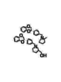 CC1CCCCN1Cc1ccc([C@H]2COc3ccccc3O2)cc1.OCC1CCCN(Cc2ccc([C@H]3COc4ccccc4O3)cc2)C1